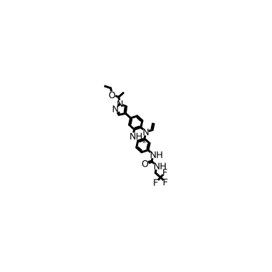 C=CN(c1cccc(NC(=O)NCC(F)(F)F)c1)c1ccc(-c2cnn(C(C)OCC)c2)cc1N